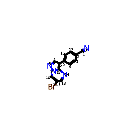 N#Cc1ccc(-c2cnn3cc(Br)cnc23)cc1